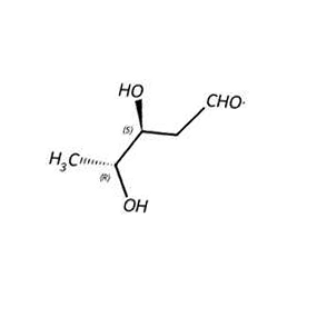 C[C@@H](O)[C@@H](O)C[C]=O